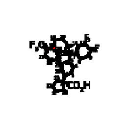 O=C(O)C1(c2ccc(C(c3ccc(F)c(F)c3)N3CCCCC3)c(-c3ccc(C(F)(F)F)cc3)c2)CCCC1